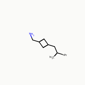 CCCC(C)CC1CC(CN)C1